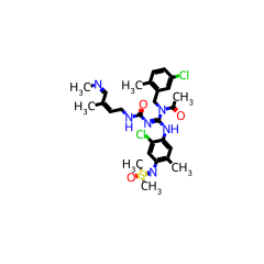 C/N=C\C(C)=C/CNC(=O)/N=C(/Nc1cc(C)c(N=S(C)(C)=O)cc1Cl)N(Cc1cc(Cl)ccc1C)C(C)=O